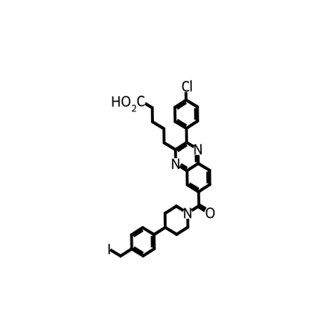 O=C(O)CCCCc1nc2cc(C(=O)N3CCC(c4ccc(CI)cc4)CC3)ccc2nc1-c1ccc(Cl)cc1